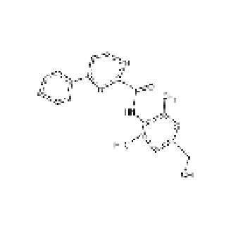 Cc1cc(CO)cc(C)c1NC(=O)c1nccc(-c2ccccc2)n1